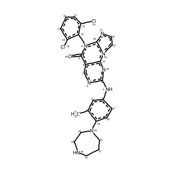 Cc1cc(Nc2ncc3c(=O)n(-c4c(Cl)cccc4Cl)c4nccn4c3n2)ccc1N1CCCNCC1